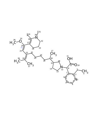 CCc1ncccc1C(C(=O)O)N1CCC(C(C)CCCCC(/C=C(/OC)C2=C(I)N(I)CCC2)=C(C)C)C1